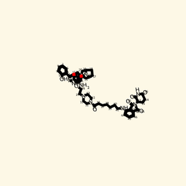 Nc1nnc(-c2ccccc2O)cc1N1CC2CCC(C1)N2c1cccc(OCCN2CCN(C(=O)CCCCCCNc3cccc4c3C(=O)N(C3CCC(=O)NC3=O)C4=O)CC2)c1